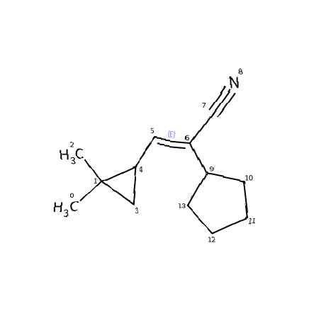 CC1(C)CC1/C=C(/C#N)C1CCCC1